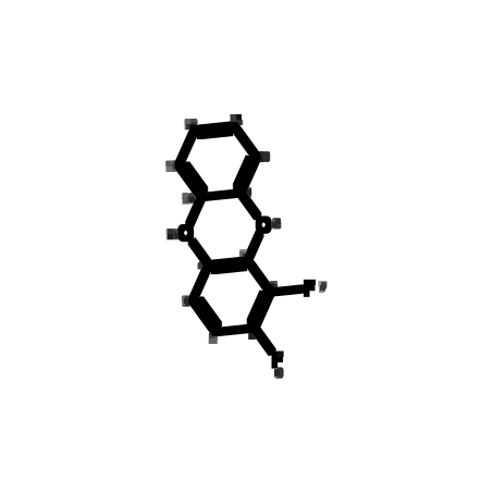 Fc1ccc2c(c1F)Oc1ccccc1O2